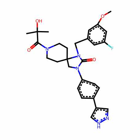 COc1cc(F)cc(CN2C(=O)N(c3ccc(-c4cn[nH]c4)cc3)CC23CCN(C(=O)C(C)(C)O)CC3)c1